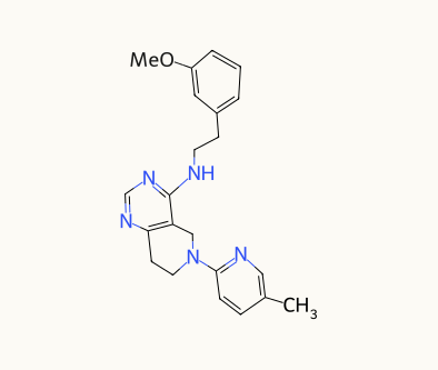 COc1cccc(CCNc2ncnc3c2CN(c2ccc(C)cn2)CC3)c1